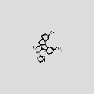 Cc1cccc(C2c3cc(C#N)ccc3CC2(C)C(=O)Nc2nncs2)c1